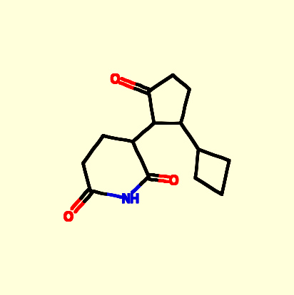 O=C1CCC(C2C(=O)CCC2C2CCC2)C(=O)N1